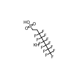 O=S(=O)(O)CCC(F)(F)C(F)(F)C(F)(F)C(F)(F)C(F)(F)C(F)(F)F.[KH]